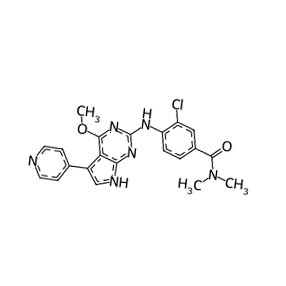 COc1nc(Nc2ccc(C(=O)N(C)C)cc2Cl)nc2[nH]cc(-c3ccncc3)c12